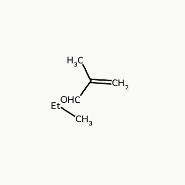 C=C(C)C=O.CCC